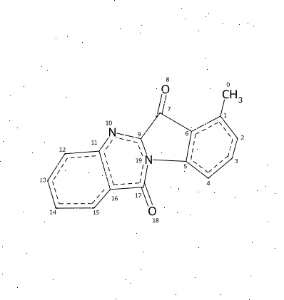 Cc1cccc2c1C(=O)c1nc3ccccc3c(=O)n1-2